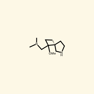 COC1(CN(C)C)CC[C@@]12CCNC2